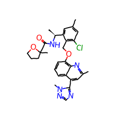 Cc1cc(Cl)c(COc2cccc3c(-c4ncnn4C)cc(C)nc23)c([C@H](C)NC(=O)C2(C)CCCO2)c1